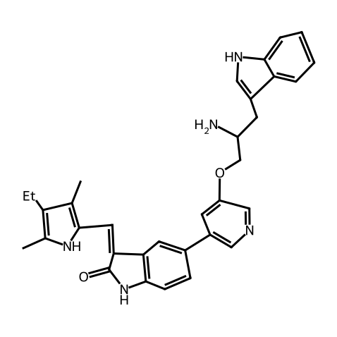 CCc1c(C)[nH]c(C=C2C(=O)Nc3ccc(-c4cncc(OCC(N)Cc5c[nH]c6ccccc56)c4)cc32)c1C